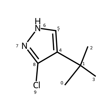 CC(C)(C)c1[c][nH]nc1Cl